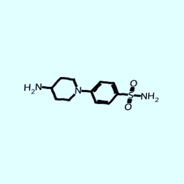 NC1CCN(c2ccc(S(N)(=O)=O)cc2)CC1